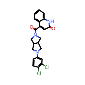 O=C(c1cc(=O)[nH]c2ccccc12)N1CC2CN(c3ccc(Cl)c(Cl)c3)CC2C1